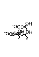 CC(O)C(=O)[O-].CC(O)C(=O)[O-].CC(O)C(=O)[O-].[Y+3]